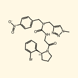 Cn1cc(CN(Cc2ccc([N+](=O)[O-])cc2)C(=O)NCC(=O)N2CCC[C@H]2c2ccccc2Br)nn1